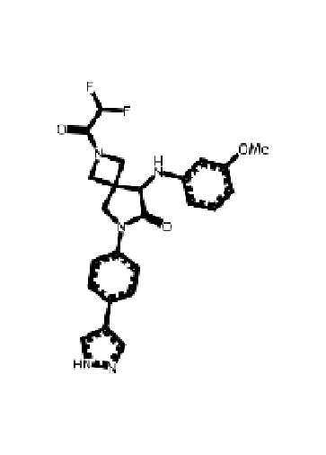 COc1cccc(NC2C(=O)N(c3ccc(-c4cn[nH]c4)cc3)CC23CN(C(=O)C(F)F)C3)c1